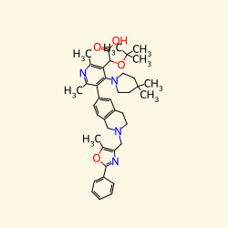 Cc1nc(C)c(C(OC(C)(C)C)C(=O)O)c(N2CCC(C)(C)CC2)c1-c1ccc2c(c1)CCN(Cc1nc(-c3ccccc3)oc1C)C2